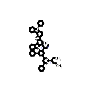 C=C/C=C(\C=C)c1nc(-c2ccccc2)cc(-c2cc(C(/C=C\C)=C/CC)c(-n3c4ccccc4c4c5oc6c(ccc7c6c6ccccc6n7-c6ccccc6)c5ccc43)c(-c3ccccc3)c2)n1